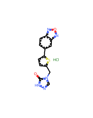 Cl.O=c1[nH]ncn1Cc1ccc(-c2ccc3nonc3c2)s1